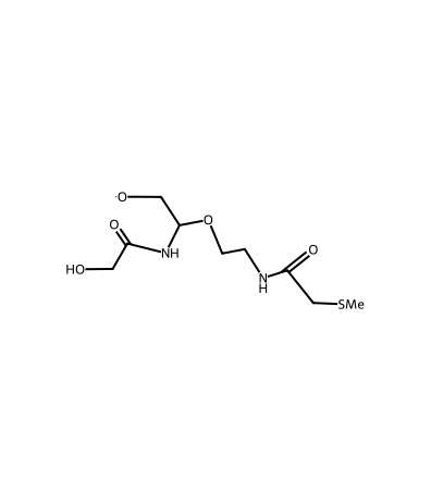 CSCC(=O)NCCOC(C[O])NC(=O)CO